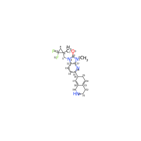 Cn1c(=O)n(CC2(C)CC2(F)F)c2ccc(C3C=C4CNCCC4=CC3)nc21